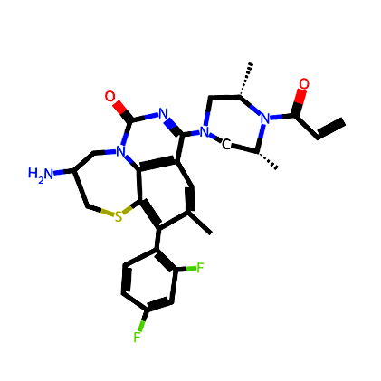 C=CC(=O)N1[C@H](C)CN(c2nc(=O)n3c4c(c(-c5ccc(F)cc5F)c(C)cc24)SCC(N)C3)C[C@@H]1C